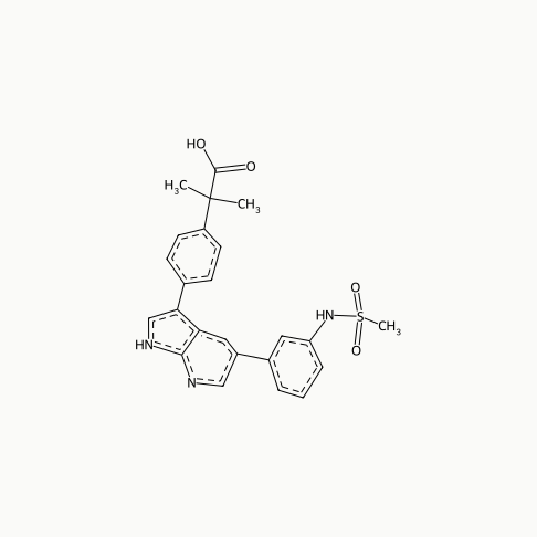 CC(C)(C(=O)O)c1ccc(-c2c[nH]c3ncc(-c4cccc(NS(C)(=O)=O)c4)cc23)cc1